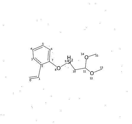 C=Cc1ccccc1O[SiH2]CC(OC)OC